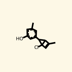 CC1=CC2(Cl)C1C2c1cc(C)cc(O)c1